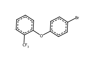 FC(F)(F)c1[c]cccc1Oc1ccc(Br)cc1